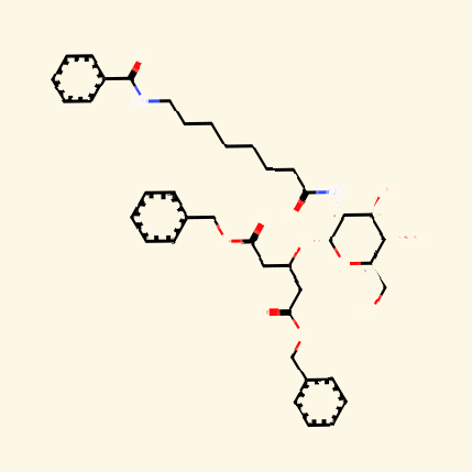 O=C(CCCCCCCNC(=O)c1ccccc1)N[C@H]1[C@@H](OC(CC(=O)OCc2ccccc2)CC(=O)OCc2ccccc2)O[C@H](CO)[C@@H](O)[C@@H]1O